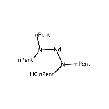 CCCCC[N](CCCCC)[Nd][N](CCCCC)CCCCC.Cl